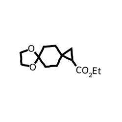 CCOC(=O)C1CC12CCC1(CC2)OCCO1